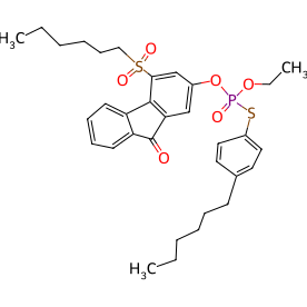 CCCCCCc1ccc(SP(=O)(OCC)Oc2cc3c(c(S(=O)(=O)CCCCCC)c2)-c2ccccc2C3=O)cc1